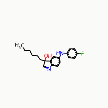 CCCCCCC1(O)C=Nc2ccc(Nc3ccc(F)cc3)cc21